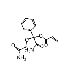 C=CC(=O)OC(OCC(N)=O)(C(N)=O)c1ccccc1